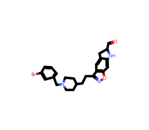 O=CC1Cc2cc3c(CCC4CCN(Cc5cccc(Br)c5)CC4)noc3cc2N1